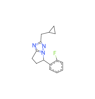 Fc1ccccc1C1CCc2nc(CC3CC3)nn21